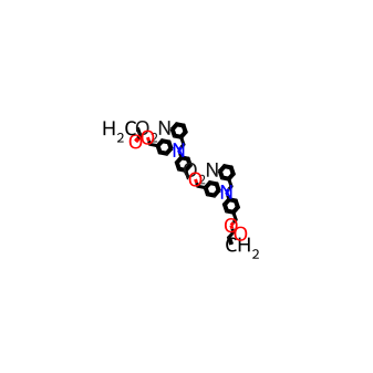 C=CC(=O)OCc1ccc(N(Cc2cccc([N+](=O)[O-])c2)c2ccc(COCc3ccc(N(Cc4cccc([N+](=O)[O-])c4)c4ccc(COC(=O)C=C)cc4)cc3)cc2)cc1